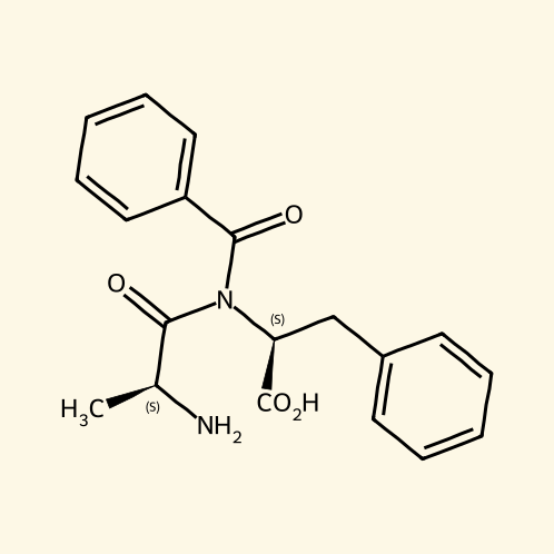 C[C@H](N)C(=O)N(C(=O)c1ccccc1)[C@@H](Cc1ccccc1)C(=O)O